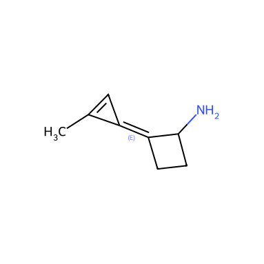 CC1=CC/1=C1/CCC1N